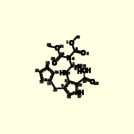 COC(=O)N(C(=N)Nc1c(Cc2ccsc2)c[nH]c1C(=O)O)C(=O)OC